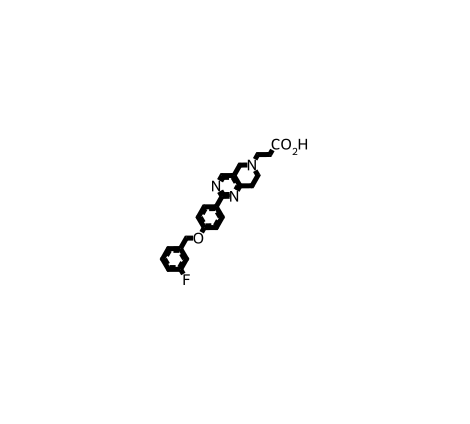 O=C(O)CCN1CCc2nc(-c3ccc(OCc4cccc(F)c4)cc3)ncc2C1